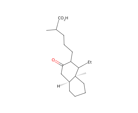 CCC1C(CCCC(C)C(=O)O)C(=O)C[C@@H]2CCCC[C@]12C